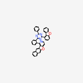 c1ccc(-c2nc(-c3ccccc3-c3nccc4oc5cc6ccccc6cc5c34)nc(-c3cccc4oc5ccccc5c34)n2)cc1